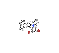 Brc1cc(Br)cc(N(c2ccccc2)c2ccc(-c3cccc4ccccc34)cc2)c1